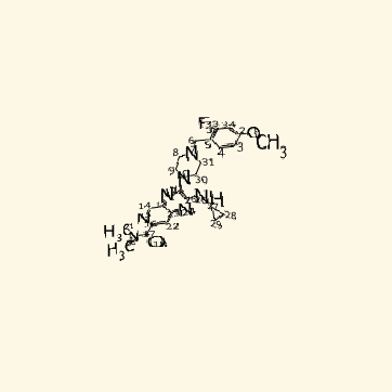 COc1ccc(CN2CCN(c3nc4cnc(C(=O)N(C)C)cc4nc3NC3CC3)CC2)c(F)c1